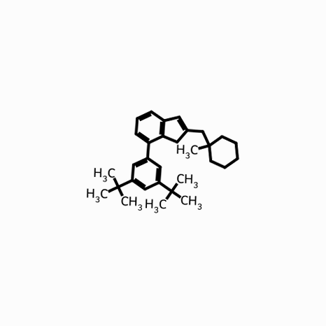 CC1(CC2=Cc3cccc(-c4cc(C(C)(C)C)cc(C(C)(C)C)c4)c3C2)CCCCC1